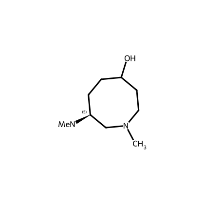 CN[C@H]1CCC(O)CCN(C)C1